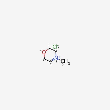 C[N+]1=CCOCC1.[Cl-]